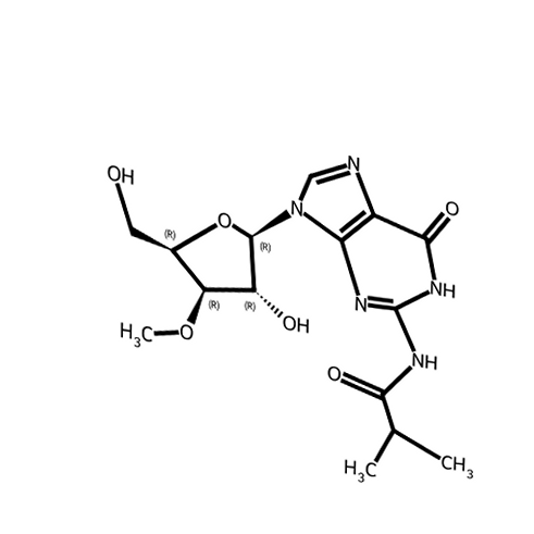 CO[C@@H]1[C@@H](O)[C@H](n2cnc3c(=O)[nH]c(NC(=O)C(C)C)nc32)O[C@@H]1CO